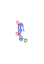 Cn1cc(Cc2ccc(F)cc2)c2ccc(C(=O)N3CC(N4CCN(C(=O)c5ccc[nH]5)CC4)C3)cc21